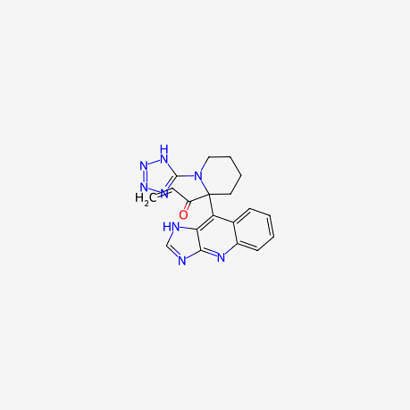 C=CC(=O)C1(c2c3ccccc3nc3nc[nH]c23)CCCCN1c1nnn[nH]1